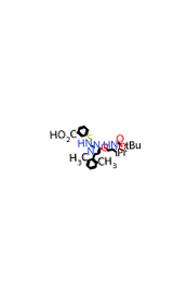 Cc1cccc(C)c1-c1cc(OCC(NC(=O)OC(C)(C)C)C(C)C)nc(NSc2cccc(C(=O)O)c2)n1